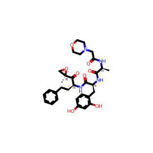 C[C@H](NC(=O)CN1CCOCC1)C(=O)N[C@@H](Cc1ccc(O)cc1O)C(=O)N[C@@H](CCc1ccccc1)C(=O)[C@@]1(C)CO1